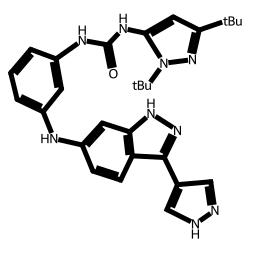 CC(C)(C)c1cc(NC(=O)Nc2cccc(Nc3ccc4c(-c5cn[nH]c5)n[nH]c4c3)c2)n(C(C)(C)C)n1